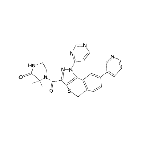 CC1(C)C(=O)NCCN1C(=O)c1nn(-c2ccncn2)c2c1SCc1ccc(-c3cccnc3)cc1-2